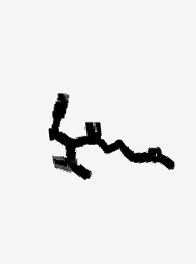 CN/C(=N/C#N)NCCCOC